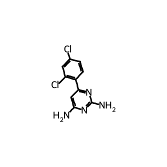 Nc1cc(-c2ccc(Cl)cc2Cl)nc(N)n1